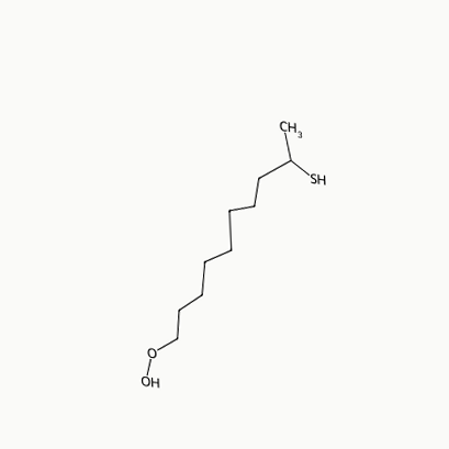 CC(S)CCCCCCCCOO